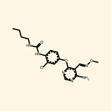 CCCCNC(=O)Nc1ccc(Oc2ncnc(N)c2C=NOC)cc1Cl